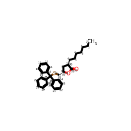 CCCCCCC[C@@H]1C[C@@H](CSC(c2ccccc2)(c2ccccc2)c2ccccc2)OC1=O